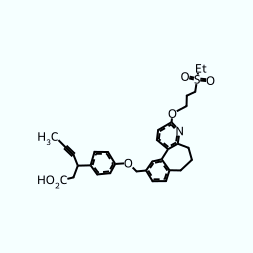 CC#CC(CC(=O)O)c1ccc(OCc2ccc3c(c2)-c2ccc(OCCCS(=O)(=O)CC)nc2CCC3)cc1